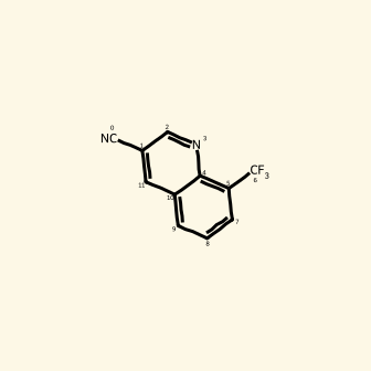 N#Cc1cnc2c(C(F)(F)F)cccc2c1